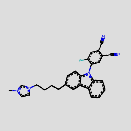 C[n+]1ccn(CCCCc2ccc3c(c2)c2ccccc2n3-c2cc(C#N)c(C#N)cc2F)c1